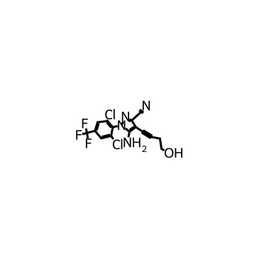 N#Cc1nn(-c2c(Cl)cc(C(F)(F)F)cc2Cl)c(N)c1C#CCCO